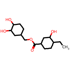 CCC1CCC(C(=O)OCC2CCC(O)C(O)C2)CC1O